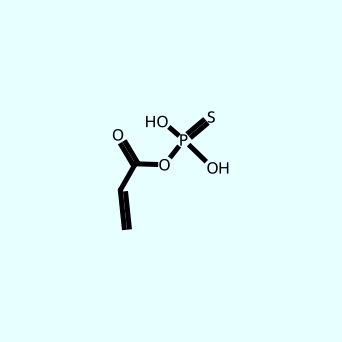 C=CC(=O)OP(O)(O)=S